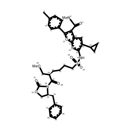 CNC(=O)c1c(-c2ccc(C)cc2)oc2nc(NS(=O)(=O)CCCC[C@H](COC)C(=O)N3C(=O)OC[C@@H]3Cc3ccccc3)c(C3CC3)cc12